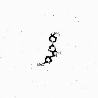 COc1ccc(-c2n[nH]c3nc(N4CCC(C)(N)CC4)cnc23)cn1